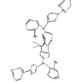 CC1(C)c2cc(N(c3ccc(-c4ccccc4)cc3)c3ccccc3Br)ccc2-c2ccc(N(c3ccc(-c4ccccc4)cc3)c3ccccc3Br)cc21